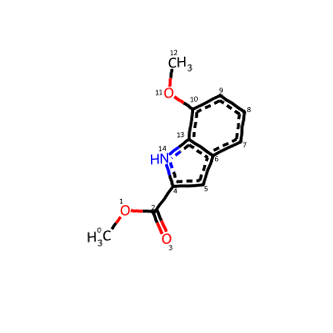 COC(=O)c1cc2cccc(OC)c2[nH]1